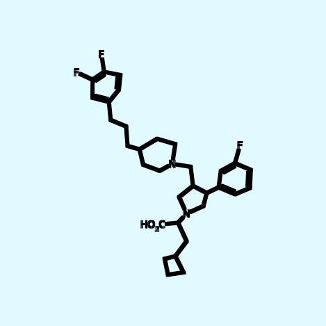 O=C(O)C(CC1CCC1)N1CC(CN2CCC(CCCc3ccc(F)c(F)c3)CC2)C(c2cccc(F)c2)C1